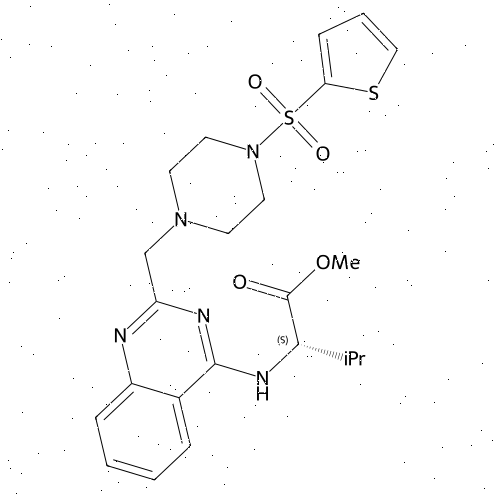 COC(=O)[C@@H](Nc1nc(CN2CCN(S(=O)(=O)c3cccs3)CC2)nc2ccccc12)C(C)C